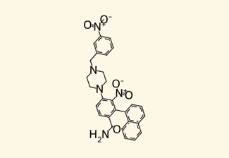 NC(=O)c1ccc(N2CCN(Cc3cccc([N+](=O)[O-])c3)CC2)c([N+](=O)[O-])c1-c1cccc2ccccc12